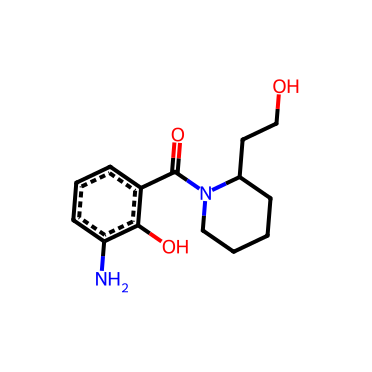 Nc1cccc(C(=O)N2CCCCC2CCO)c1O